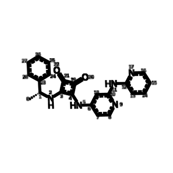 C[C@@H](Nc1c(Nc2ccnc(Nc3ccccn3)c2)c(=O)c1=O)c1ccccc1